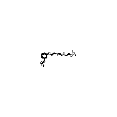 CCOOc1cccc(OCCOCCOCCOPI)c1